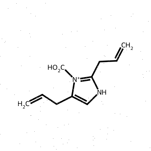 C=CCc1c[nH]c(CC=C)[n+]1C(=O)O